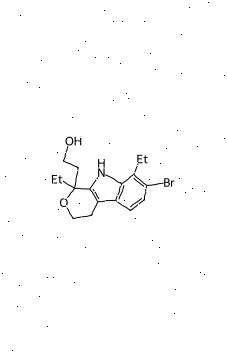 CCc1c(Br)ccc2c3c([nH]c12)C(CC)(CCO)OCC3